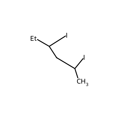 [CH2]CC(I)CC(C)I